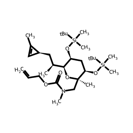 C=CCOC(=O)N(C)C[C@@]1(C)O[C@@H]([C@@H](C)C[C@H]2C=C2C)[C@@H](O[Si](C)(C)C(C)(C)C)C[C@H]1O[Si](C)(C)C(C)(C)C